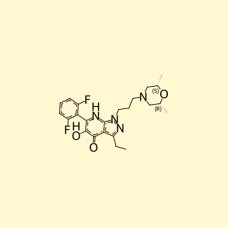 CCc1nn(CCCN2C[C@@H](C)O[C@@H](C)C2)c2[nH]c(-c3c(F)cccc3F)c(O)c(=O)c12